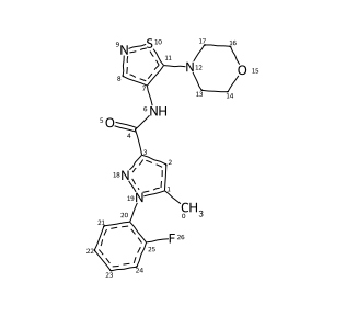 Cc1cc(C(=O)Nc2cnsc2N2CCOCC2)nn1-c1ccccc1F